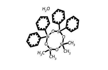 C[Si]1(C)O[Si](C)(C)O[Si](c2ccccc2)(c2ccccc2)O[Si](c2ccccc2)(c2ccccc2)O1.O